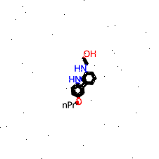 CCCOc1ccc2[nH]c3c(c2c1)CCCC3NCCO